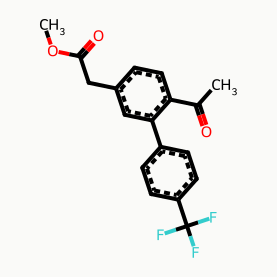 COC(=O)Cc1ccc(C(C)=O)c(-c2ccc(C(F)(F)F)cc2)c1